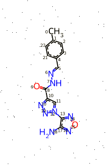 Cc1ccc(/C=N/NC(=O)c2cn(-c3nonc3N)nn2)cc1